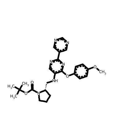 COc1ccc(Oc2nc(-c3cncnc3)ncc2NC[C@@H]2CCCN2C(=O)OC(C)(C)C)cc1